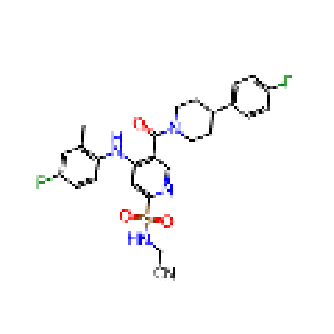 Cc1cc(F)ccc1Nc1cc(S(=O)(=O)NCC#N)ncc1C(=O)N1CCC(c2ccc(F)cc2)CC1